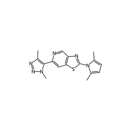 Cc1nnn(C)c1-c1cc2sc(-n3c(C)ccc3C)nc2cn1